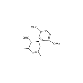 CC1=CC(C)C(C=O)CC1.COc1ccc(C=O)cc1